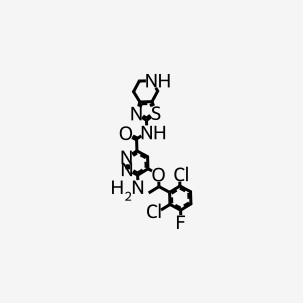 CC(Oc1cc(C(=O)Nc2nc3c(s2)CNCC3)nnc1N)c1c(Cl)ccc(F)c1Cl